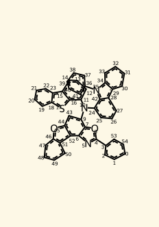 c1ccc(-c2nc3c(o2)c(N(c2cccc4c2sc2ccccc24)c2cccc4c5ccccc5n(-c5ccccc5)c24)cc2oc4ccccc4c23)cc1